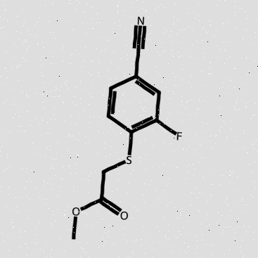 COC(=O)CSc1ccc(C#N)cc1F